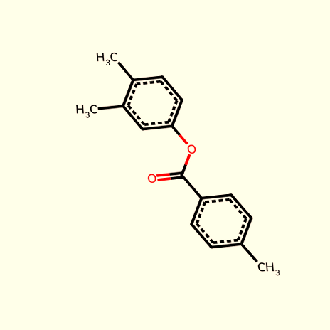 Cc1ccc(C(=O)Oc2ccc(C)c(C)c2)cc1